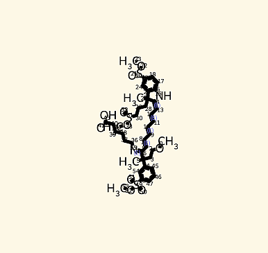 COCCC(C)(C(/C=C/C=C/C=C/C=C1/Nc2ccc(S(=O)OC)cc2C1(C)CCCS(=O)OC)=N/CCCCCC(=O)O)c1cccc(S(=O)(=O)OC)c1